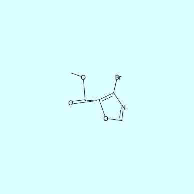 COC(=O)c1ocnc1Br